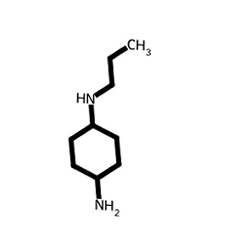 CCCNC1CCC(N)CC1